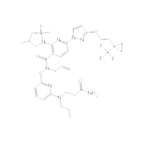 C=CCN(Sc1cccc(N(CCC)CCC(N)=O)n1)C(=O)c1ccc(-n2ccc(OCCC3(C(F)(F)F)CC3)n2)nc1N1CC(C)CC1(C)C